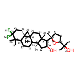 CC(C)(O)C1CC[C@@](C)(C2[C@@H](O)C[C@@]3(C)[C@@H]4CCC5C(C)(C)C(F)(F)CC[C@@]56C[C@@]46CC[C@]23C)O1